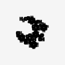 COc1ccc(N(C)C(=O)C(Cc2ccccc2)NC(=O)c2cc(C(=O)O)cc(C(=O)N[C@@H](Cc3ccccc3)C(=O)N(C)c3ccc(OC)cc3)c2)cc1